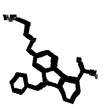 CCCOCc1ccc2c3c(C(N)=O)cccc3n(Cc3ccccc3)c2c1